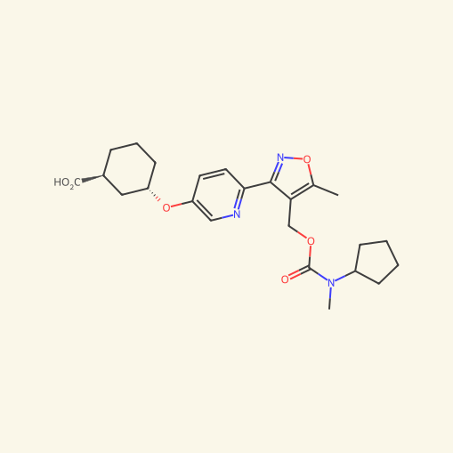 Cc1onc(-c2ccc(O[C@H]3CCC[C@H](C(=O)O)C3)cn2)c1COC(=O)N(C)C1CCCC1